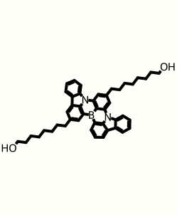 OCCCCCCCCc1cc2c3c(c1)-n1c4ccccc4c4cc(CCCCCCCCO)cc(c41)B3c1cccc3c4ccccc4n-2c13